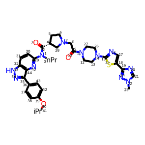 CCCN(C(=O)[C@@H]1CCN(CC(=O)N2CCN(c3ncc(-c4ncn(C)n4)s3)CC2)C1)c1ccc2[nH]nc(-c3ccc(OC(C)C)cc3)c2n1